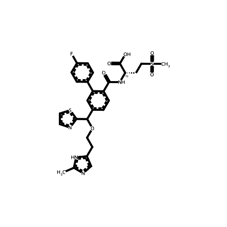 Cc1ncc(CCOC(c2ccc(C(=O)N[C@@H](CCS(C)(=O)=O)C(=O)O)c(-c3ccc(F)cc3)c2)c2nccs2)[nH]1